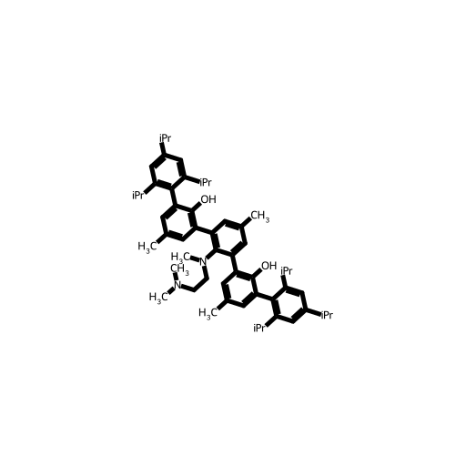 Cc1cc(-c2cc(C)cc(-c3cc(C)cc(-c4c(C(C)C)cc(C(C)C)cc4C(C)C)c3O)c2N(C)CCN(C)C)c(O)c(-c2c(C(C)C)cc(C(C)C)cc2C(C)C)c1